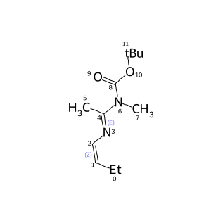 CC/C=C\N=C(/C)N(C)C(=O)OC(C)(C)C